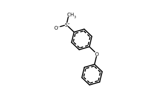 C[S+]([O-])c1ccc(Oc2ccccc2)cc1